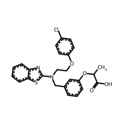 CC(Oc1cccc(CN(CCOc2ccc(Cl)cc2)c2nc3ccccc3s2)c1)C(=O)O